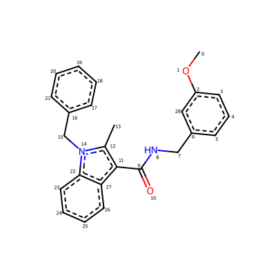 COc1cccc(CNC(=O)c2c(C)n(Cc3ccccc3)c3ccccc23)c1